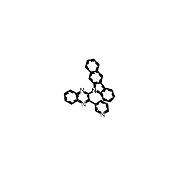 c1cncc(-c2nc3ccccc3nc2-n2c3ccccc3c3cc4ccccc4cc32)c1